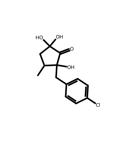 CC1CC(O)(O)C(=O)C1(O)Cc1ccc(Cl)cc1